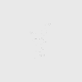 CCCCNC(=O)Nc1c2sscc-2n(-c2ccc(OC)cc2OC)c1=O